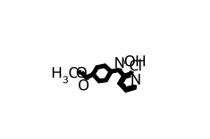 COC(=O)C1CCC(C(=NO)c2cccnc2Cl)CC1